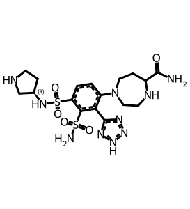 NC(=O)C1CCN(c2ccc(S(=O)(=O)N[C@@H]3CCNC3)c(S(N)(=O)=O)c2-c2nn[nH]n2)CCN1